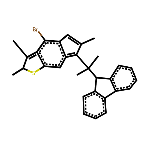 CC1=Cc2c(Br)c3c(cc2=C1C(C)(C)C1c2ccccc2-c2ccccc21)SC(C)C=3C